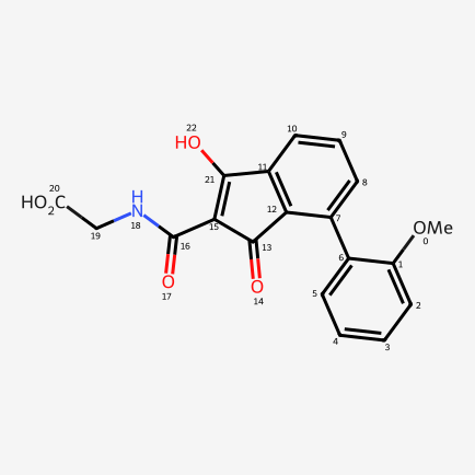 COc1ccccc1-c1cccc2c1C(=O)C(C(=O)NCC(=O)O)=C2O